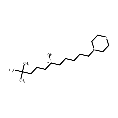 CC(C)(C)CCC[C@H](O)CCCCCN1CCSCC1